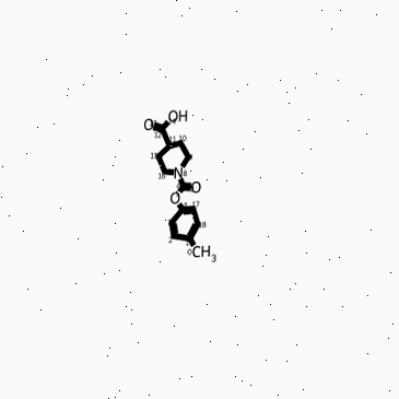 Cc1ccc(OC(=O)N2CCC(C(=O)O)CC2)cc1